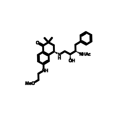 COCCNc1ccc2c(c1)[C@@H](NC[C@@H](O)[C@H](Cc1ccccc1)NC(C)=O)CC(C)(C)C2=O